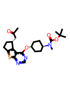 CC(=O)C[C@H]1CCc2sc3ncnc(O[C@H]4CC[C@H](N(C)C(=O)OC(C)(C)C)CC4)c3c21